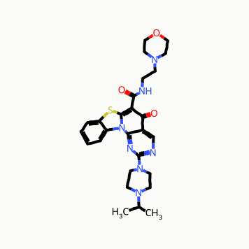 CC(C)N1CCN(c2ncc3c(=O)c(C(=O)NCCN4CCOCC4)c4sc5ccccc5n4c3n2)CC1